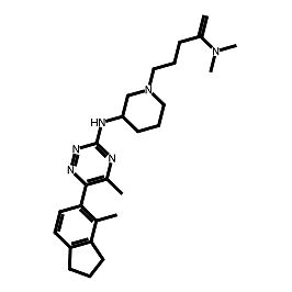 C=C(CCCN1CCCC(Nc2nnc(-c3ccc4c(c3C)CCC4)c(C)n2)C1)N(C)C